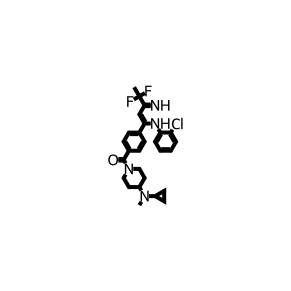 CN(C1CC1)C1CCN(C(=O)c2ccc(/C(=C/C(=N)C(C)(F)F)Nc3ccccc3Cl)cc2)CC1